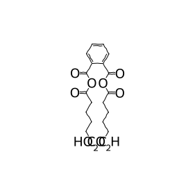 O=C(O)CCCCC(=O)OC(=O)c1ccccc1C(=O)OC(=O)CCCCC(=O)O